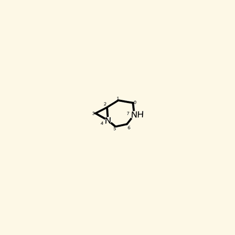 C1CC2CN2CCN1